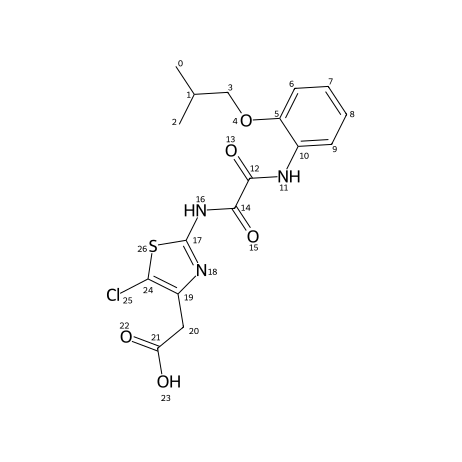 CC(C)COc1ccccc1NC(=O)C(=O)Nc1nc(CC(=O)O)c(Cl)s1